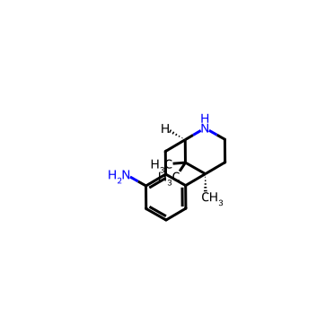 CC1(C)[C@H]2Cc3c(N)cccc3[C@]1(C)CCN2